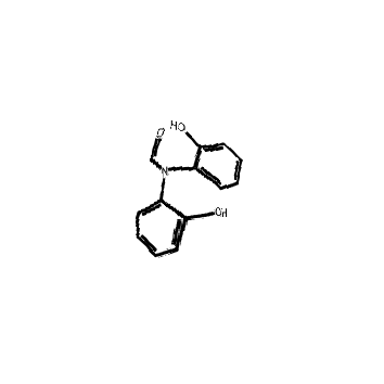 O=CN(c1ccccc1O)c1ccccc1O